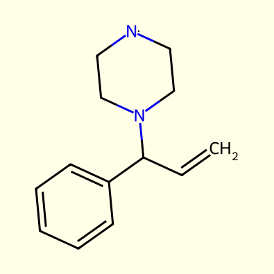 C=CC(c1ccccc1)N1CC[N]CC1